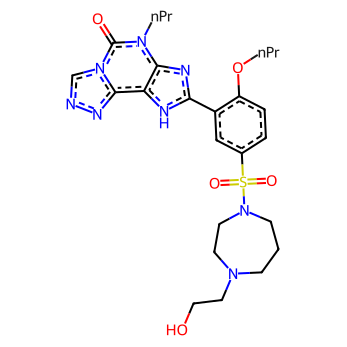 CCCOc1ccc(S(=O)(=O)N2CCCN(CCO)CC2)cc1-c1nc2c([nH]1)c1nncn1c(=O)n2CCC